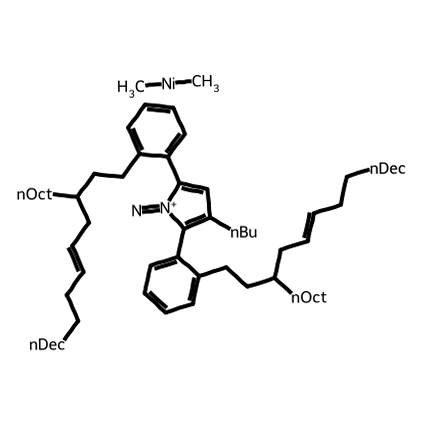 CCCCCCCCCCCCC=CCC(CCCCCCCC)CCc1ccccc1C1=CC(CCCC)=C(c2ccccc2CCC(CC=CCCCCCCCCCCCC)CCCCCCCC)[N+]1=[N-].[CH3][Ni][CH3]